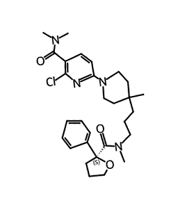 CN(C)C(=O)c1ccc(N2CCC(C)(CCCN(C)C(=O)[C@@]3(c4ccccc4)CCCO3)CC2)nc1Cl